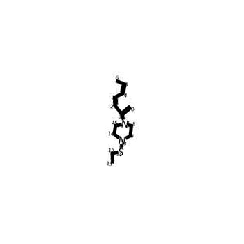 C=C(/C=C\C=C/C)N1CCN(SCC)CC1